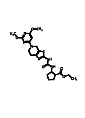 CCOC(=O)[C@H]1CCC[C@H]1NC(=O)Nc1nc2c(s1)CN(c1cc(OC)nc(OC)n1)CC2